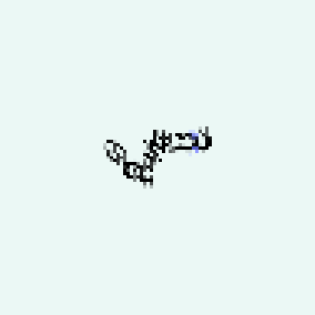 C=C/C=c1/nccc/c1=C/CCn1nnc2ncc(Nc3cc(N4CCOCC4)ccn3)nc21